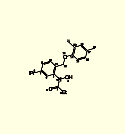 CCC(=O)N(O)c1cc(C(C)C)ccc1COc1ccc(C)cc1C